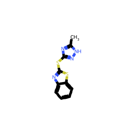 Cc1nc(Sc2nc3ccccc3s2)n[nH]1